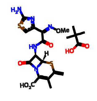 C=C1S[C@@H]2[C@H](NC(=O)/C(=N\OC)c3csc(N)n3)C(=O)N2C(C(=O)O)=C1C.CC(C)(C)C(=O)O